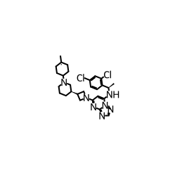 C[C]1CCC(N2CCC[C@H](C3CN(c4cc(N[C@H](C)c5ccc(Cl)cc5Cl)n5ncnc5n4)C3)C2)CC1